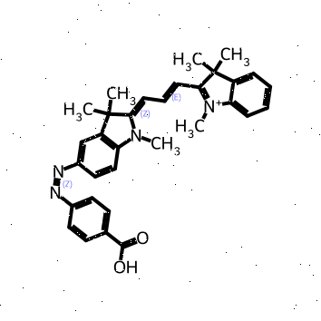 CN1/C(=C\C=C\C2=[N+](C)c3ccccc3C2(C)C)C(C)(C)c2cc(/N=N\c3ccc(C(=O)O)cc3)ccc21